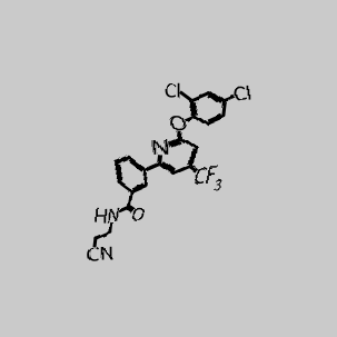 N#CCCNC(=O)c1cccc(-c2cc(C(F)(F)F)cc(Oc3ccc(Cl)cc3Cl)n2)c1